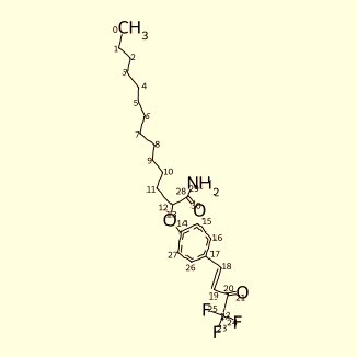 CCCCCCCCCCCCC(Oc1ccc(/C=C/C(=O)C(F)(F)F)cc1)C(N)=O